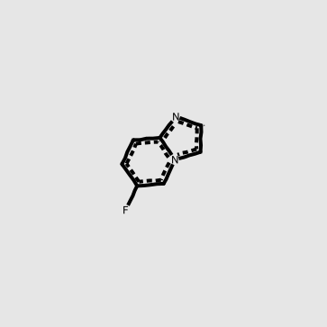 Fc1ccc2n[c]cn2c1